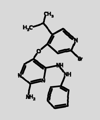 CC(C)c1cnc(Br)cc1Oc1cnc(N)nc1NNc1ccccc1